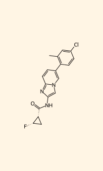 Cc1cc(Cl)ccc1-c1ccc2nc(NC(=O)[C@@H]3C[C@@H]3F)cn2c1